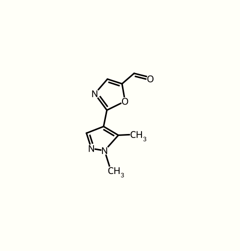 Cc1c(-c2ncc(C=O)o2)cnn1C